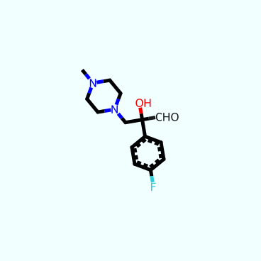 CN1CCN(CC(O)(C=O)c2ccc(F)cc2)CC1